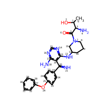 CC(O)C(N)C(=O)N1CCCC(Nc2ncnc(N)c2C(=N)c2ccc(Oc3ccccc3)cc2)C1